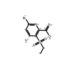 CCS(=O)(=O)c1ccc(Br)nc1C(=O)[O-].[Li+]